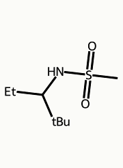 CCC(NS(C)(=O)=O)C(C)(C)C